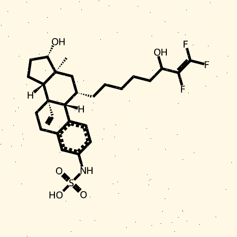 C=C[C@@]12CCc3cc(NS(=O)(=O)O)ccc3[C@H]1[C@@H](CCCCCC(O)C(F)=C(F)F)C[C@@]1(C)[C@H]2CC[C@@H]1O